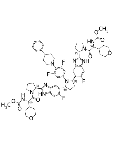 COC(=O)N[C@H](C(=O)N1CCC[C@H]1c1nc2c([nH]1)C=C(F)C([C@H]1CC[C@H](c3cc4nc([C@@H]5CCCN5C(=O)[C@@H](NC(=O)OC)C5CCOCC5)[nH]c4cc3F)N1c1cc(F)c(N3CCC(c4ccccc4)CC3)c(F)c1)C2)C1CCOCC1